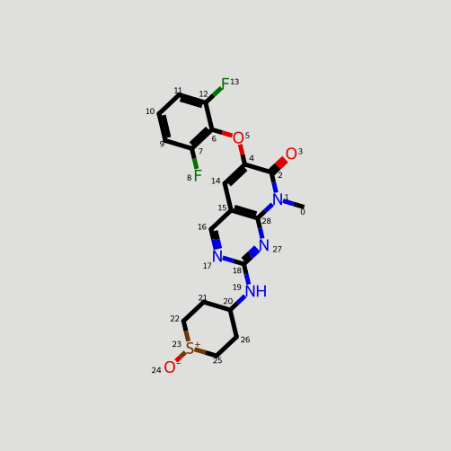 Cn1c(=O)c(Oc2c(F)cccc2F)cc2cnc(NC3CC[S+]([O-])CC3)nc21